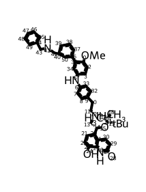 COc1ccc(Nc2ccc(CCNC[C@H](O[Si](C)(C)C(C)(C)C)c3ccc(O)c4[nH]c(=O)ccc34)cc2)cc1-c1cccc(CNCc2ccccc2)c1